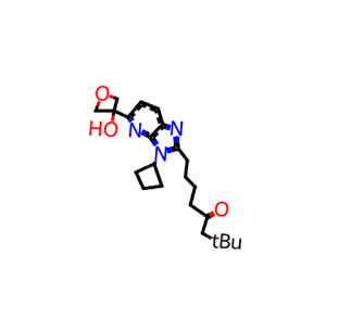 CC(C)(C)CC(=O)CCCCc1nc2ccc(C3(O)COC3)nc2n1C1CCC1